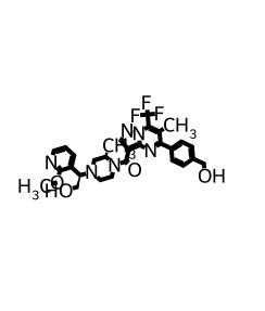 COc1ncccc1[C@H](CO)N1CCN(C(=O)c2cnn3c(C(F)(F)F)c(C)c(-c4ccc(CO)cc4)nc23)[C@H](C)C1